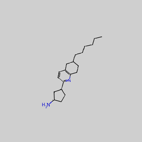 CCCCCCC1CCc2nc(C3CC[C](N)C3)ccc2C1